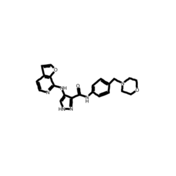 O=C(Nc1ccc(CN2CCOCC2)cc1)c1n[nH]cc1Nc1nccc2ccoc12